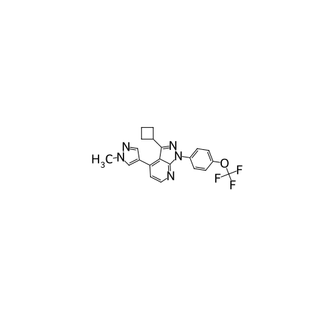 Cn1cc(-c2ccnc3c2c(C2CCC2)nn3-c2ccc(OC(F)(F)F)cc2)cn1